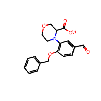 O=Cc1ccc(OCc2ccccc2)c(N2CCOCC2C(=O)O)c1